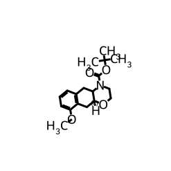 COc1cccc2c1C[C@H]1OCCN(C(=O)OC(C)(C)C)C1C2